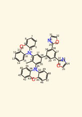 Cc1c(N2c3ccccc3Oc3ccccc32)cc(-c2cc(-c3ncco3)cc(-c3ncco3)c2)cc1N1c2ccccc2Oc2ccccc21